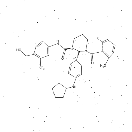 Cc1cccc(F)c1C(=O)N1CCC[C@H](C(=O)Nc2ccc(CO)c(C(F)(F)F)c2)C1[C@@H]1C=CC(NC2CCCC2)=CC1